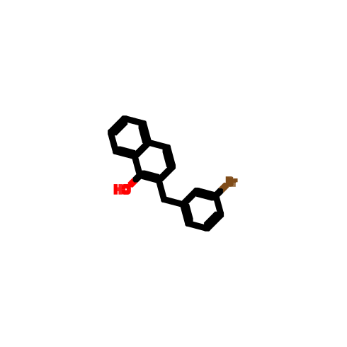 Oc1c(Cc2cccc(Br)c2)ccc2ccccc12